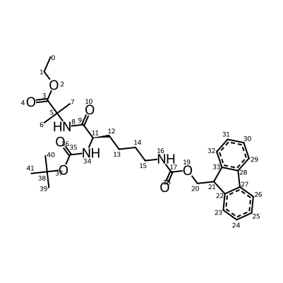 CCOC(=O)C(C)(C)NC(=O)[C@@H](CCCCNC(=O)OCC1c2ccccc2-c2ccccc21)NC(=O)OC(C)(C)C